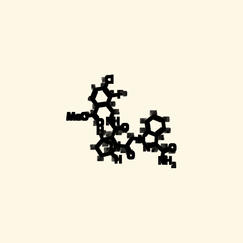 COC(=O)c1ccc(Cl)c(F)c1CNC(=O)[C@@H]1[C@H]2CC[C@H](C2)N1C(=O)Cn1nc(C(N)=O)c2ccccc21